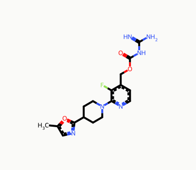 Cc1cnc(C2CCN(c3nccc(COC(=O)NC(=N)N)c3F)CC2)o1